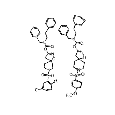 O=C(OC1=NOC2(CCN(S(=O)(=O)c3cc(Cl)ccc3Cl)CC2)C1)N(CCc1ccccc1)Cc1ccccc1.O=C(OC1=NOC2(CCN(S(=O)(=O)c3ccc(OC(F)(F)F)cc3)CC2)C1)N(CCc1ccccc1)Cc1ccccc1